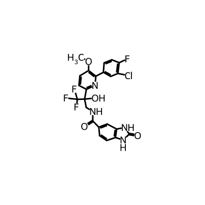 COc1ccc(C(O)(CNC(=O)c2ccc3[nH]c(=O)[nH]c3c2)C(F)(F)F)nc1-c1ccc(F)c(Cl)c1